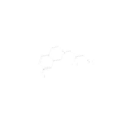 Cc1ccc2c(c1)CN(CC(O)CN)CC2